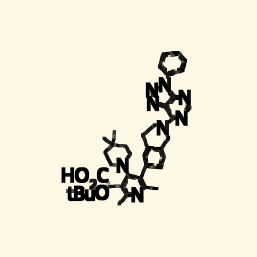 Cc1nc(C)c([C@H](OC(C)(C)C)C(=O)O)c(N2CCC(C)(C)CC2)c1-c1ccc2c(c1)CCN(c1ncnc3c1nnn3-c1ccccc1)C2